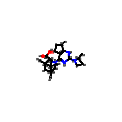 C[C@H]1CCc2c1nc(N1CC[C@@H]1C)nc2N1C[C@H]2C[C@@H](C1)[C@@H]2CC(=O)O